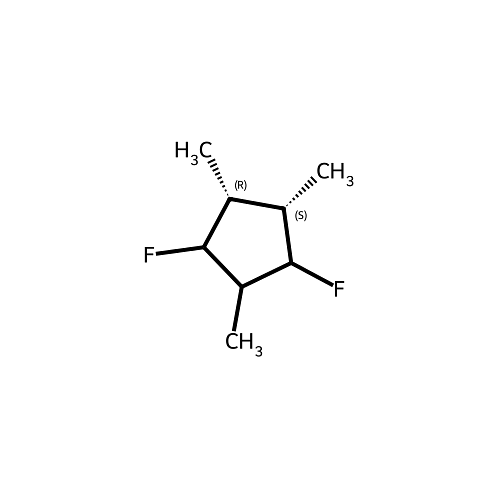 CC1C(F)[C@@H](C)[C@@H](C)C1F